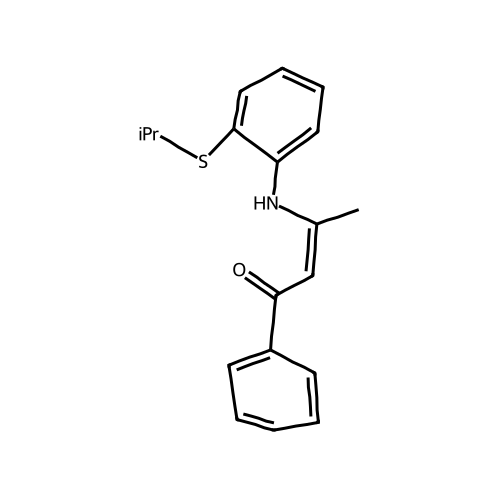 C/C(=C/C(=O)c1ccccc1)Nc1ccccc1SC(C)C